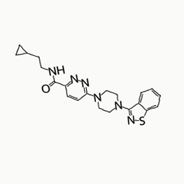 O=C(NCCC1CC1)c1ccc(N2CCN(c3nsc4ccccc34)CC2)nn1